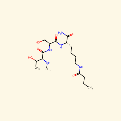 CCCC(=O)NCCCC[C@H](NC(=O)[C@H](CO)NC(=O)[C@@H](NC)C(C)O)C(N)=O